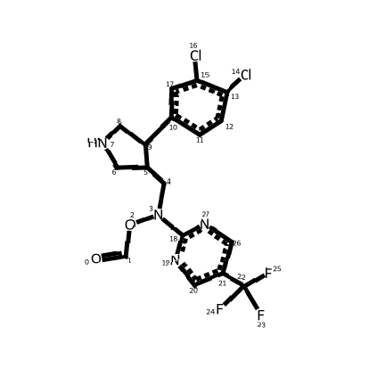 O=CON(CC1CNCC1c1ccc(Cl)c(Cl)c1)c1ncc(C(F)(F)F)cn1